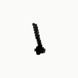 CCCCCCCCCCCCCCCCCOC(=O)c1ccccc1C(=O)OC